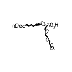 CCCCCCCCCCCCCCC#COC(COCCOCCOCC)S(=O)(=O)O